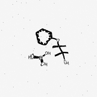 CC(C)(O)C(C)(C)Oc1ccccc1.OB(O)O